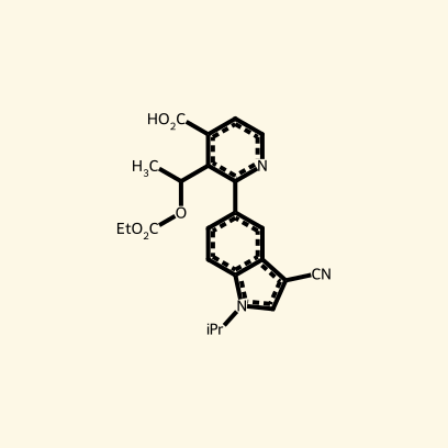 CCOC(=O)OC(C)c1c(C(=O)O)ccnc1-c1ccc2c(c1)c(C#N)cn2C(C)C